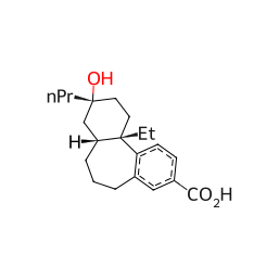 CCC[C@@]1(O)CC[C@]2(CC)c3ccc(C(=O)O)cc3CCC[C@@H]2C1